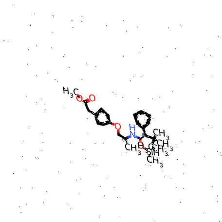 COC(=O)Cc1ccc(OC[C@@H](C)NC(O[SiH](C)C)[C@@H](c2ccccc2)C(C)(C)C)cc1